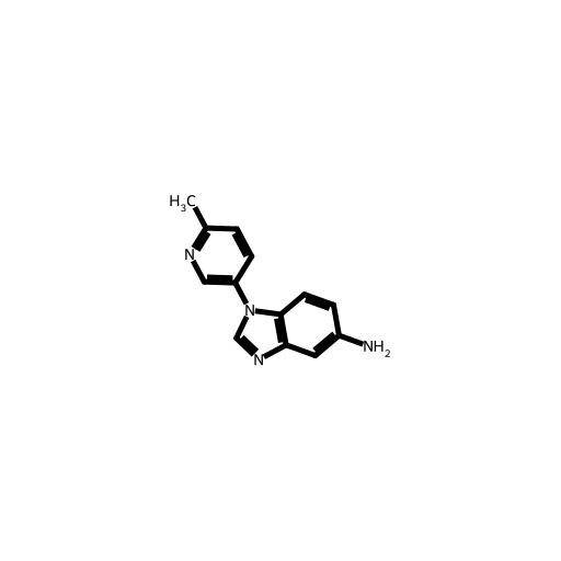 Cc1ccc(-n2cnc3cc(N)ccc32)cn1